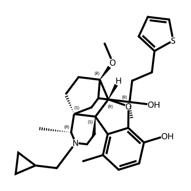 CO[C@]12CC[C@@]3(CC1[C@](C)(O)CCc1cccs1)[C@@H](C)N(CC1CC1)CC[C@@]31c3c(C)ccc(O)c3O[C@H]12